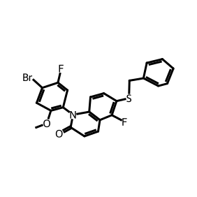 COc1cc(Br)c(F)cc1-n1c(=O)ccc2c(F)c(SCc3ccccc3)ccc21